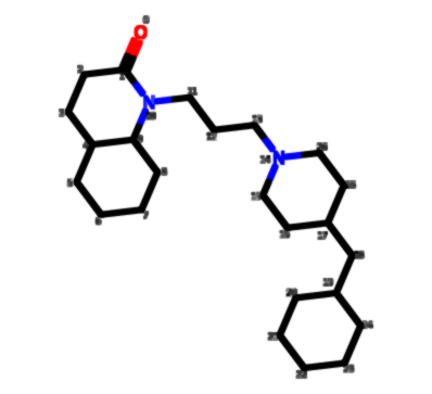 O=C1CCC2CCCCC2N1CCCN1CCC(CC2CCCCC2)CC1